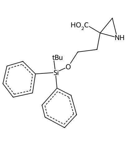 CC(C)(C)[Si](OCCC1(C(=O)O)CN1)(c1ccccc1)c1ccccc1